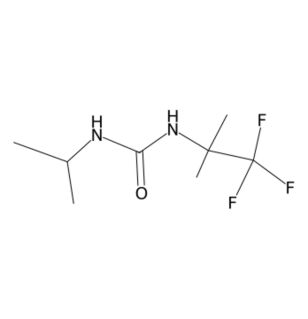 CC(C)NC(=O)NC(C)(C)C(F)(F)F